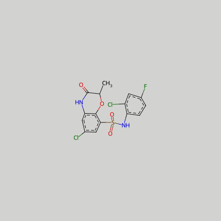 CC1Oc2c(cc(Cl)cc2S(=O)(=O)Nc2ccc(F)cc2Cl)NC1=O